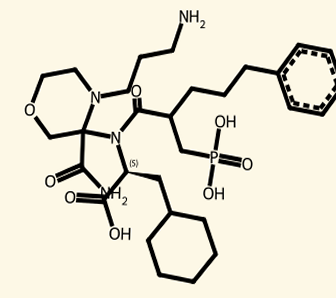 NCCCN1CCOCC1(C(N)=O)N(C(=O)C(CCCc1ccccc1)CP(=O)(O)O)[C@@H](CC1CCCCC1)C(=O)O